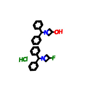 Cl.FC1CN(C(c2ccccc2)c2ccccc2)C1.OC1CN(C(c2ccccc2)c2ccccc2)C1